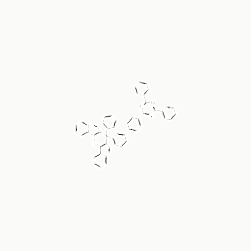 c1ccc(-c2nc(-c3ccccc3)nc(-c3ccc(-c4cccc5c4-c4ccccc4C54c5ccc6ccccc6c5Sc5c4ccc4ccccc54)cc3)n2)cc1